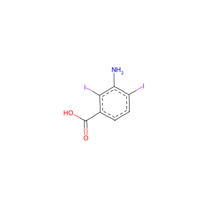 Nc1c(I)ccc(C(=O)O)c1I